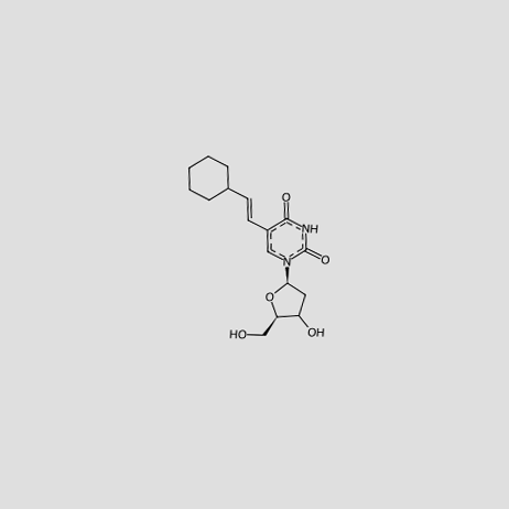 O=c1[nH]c(=O)n([C@H]2CC(O)[C@@H](CO)O2)cc1/C=C/C1CCCCC1